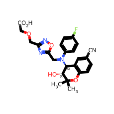 CC1(C)Oc2ccc(C#N)cc2[C@H](N(Cc2nc(COCC(=O)O)no2)c2ccc(F)cc2)[C@H]1O